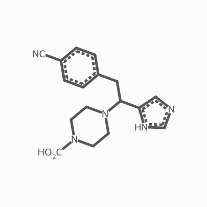 N#Cc1ccc(CC(c2cnc[nH]2)N2CCN(C(=O)O)CC2)cc1